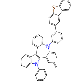 C=C/C=C1\C(=C/C)N(c2cccc(-c3ccc4sc5ccccc5c4c3)c2)c2ccccc2-c2c1n(-c1ccccc1)c1ccccc21